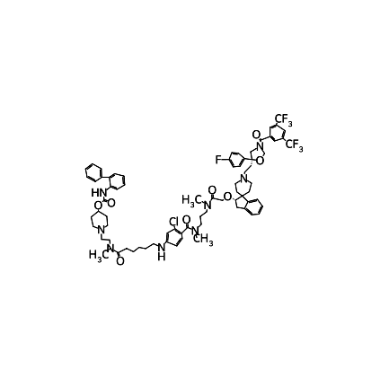 CN(CCN1CCC(OC(=O)Nc2ccccc2-c2ccccc2)CC1)C(=O)CCCCCNc1ccc(C(=O)N(C)CCCN(C)C(=O)CO[C@H]2Cc3ccccc3C23CCN(CC[C@]2(c4ccc(F)cc4)CN(C(=O)c4cc(C(F)(F)F)cc(C(F)(F)F)c4)CO2)CC3)c(Cl)c1